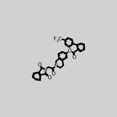 O=C(Oc1ccc2c(c1)CCN(C(=O)CN1C(=O)c3ccccc3C1=O)C2)c1ccccc1-c1ccc(C(F)(F)F)cc1